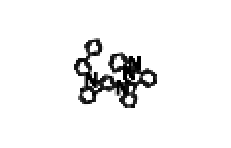 c1ccc(-c2cccc(-n3c4ccccc4c4cc(-n5c6ccccc6c6c7ccccc7c7nc8ccccc8n7c65)ccc43)c2)cc1